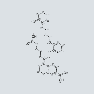 O=C(O)CCCCN(CCc1ccccc1OCCCCN1CCCCC1=O)C1CCCc2cc(C(=O)O)ccc21